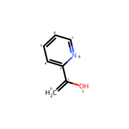 C=C(O)c1ccccn1